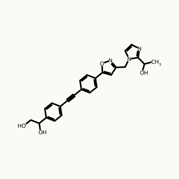 CC(O)c1nccn1Cc1cc(-c2ccc(C#Cc3ccc(C(O)CO)cc3)cc2)on1